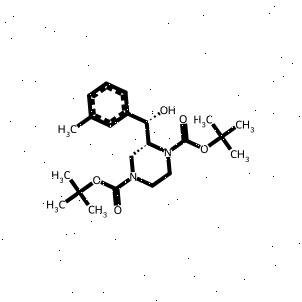 Cc1cccc([C@H](O)[C@H]2CN(C(=O)OC(C)(C)C)CCN2C(=O)OC(C)(C)C)c1